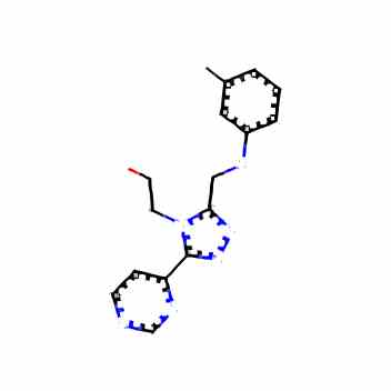 CCOC(=O)c1cccc(NCc2nnc(-c3ccncn3)n2CCO)c1